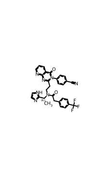 C[C@H](c1ncc[nH]1)N(CCc1nc2ncccc2c(=O)n1-c1ccc(C#N)cc1)C(=O)Cc1ccc(C(F)(F)F)cc1